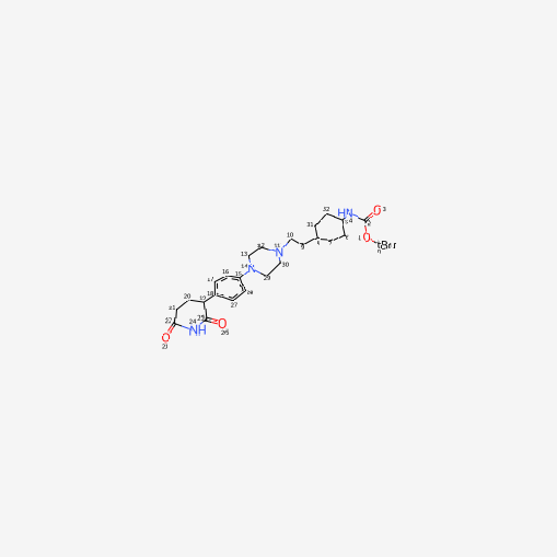 CC(C)(C)OC(=O)NC1CCC(CCN2CCN(c3ccc(C4CCC(=O)NC4=O)cc3)CC2)CC1